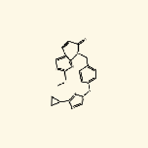 CSc1ncc2ccc(=O)n(Cc3ccc(Sn4cnc(C5CC5)n4)cc3)c2n1